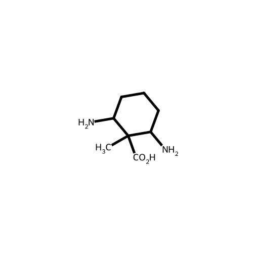 CC1(C(=O)O)C(N)CCCC1N